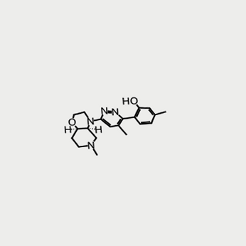 Cc1ccc(-c2nnc(N3CCO[C@@H]4CCN(C)C[C@@H]43)cc2C)c(O)c1